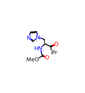 COC(=O)N[C@@H](Cn1ccnc1)C(=O)C(C)C